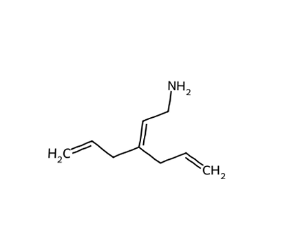 C=CCC(=CCN)CC=C